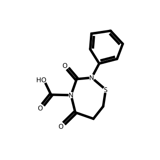 O=C(O)N1C(=O)CCSN(c2ccccc2)C1=O